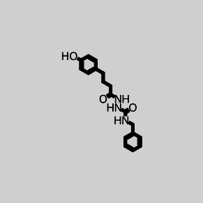 O=C(CCCc1ccc(O)cc1)NNC(=O)NCc1ccccc1